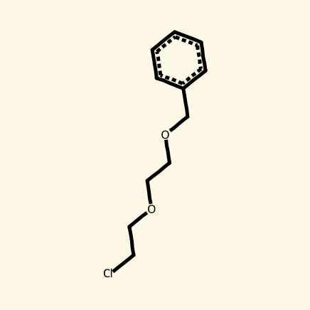 ClCCOCCOCc1ccccc1